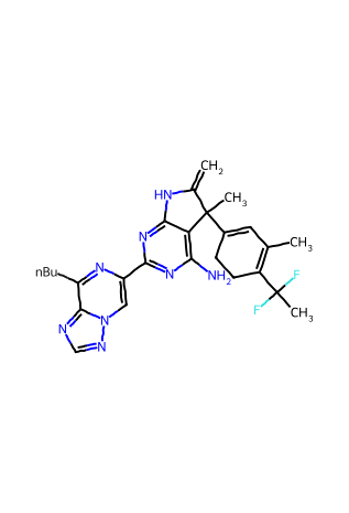 C=C1Nc2nc(-c3cn4ncnc4c(CCCC)n3)nc(N)c2C1(C)C1=CC(C)=C(C(C)(F)F)CC1